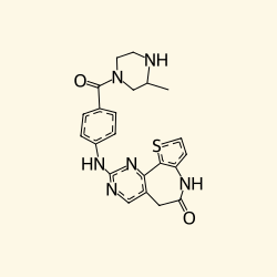 CC1CN(C(=O)c2ccc(Nc3ncc4c(n3)-c3sccc3NC(=O)C4)cc2)CCN1